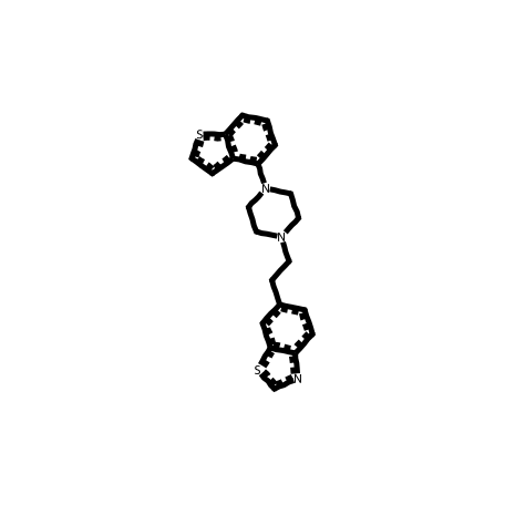 c1cc(N2CCN(CCc3ccc4ncsc4c3)CC2)c2ccsc2c1